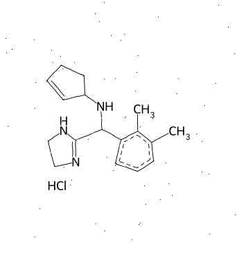 Cc1cccc(C(NC2C=CCC2)C2=NCCN2)c1C.Cl